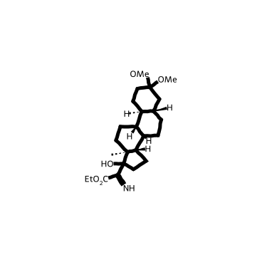 CCOC(=O)C(=N)C1(O)CC[C@H]2[C@@H]3CC[C@H]4CC(OC)(OC)CC[C@@H]4[C@H]3CC[C@@]21C